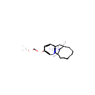 CCOCOc1ccc2c(c1)[C@@]1(C)CCCCC[C@@H](C2)[C@@H]1N